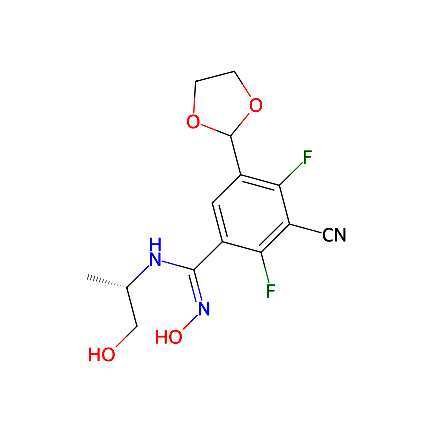 C[C@@H](CO)NC(=NO)c1cc(C2OCCO2)c(F)c(C#N)c1F